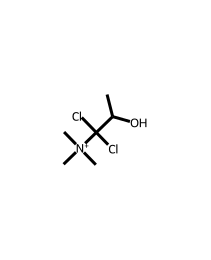 CC(O)C(Cl)(Cl)[N+](C)(C)C